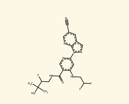 CC(C)(O)C(F)CNC(=O)c1cnc(-n2ncc3cc(C#N)cnc32)cc1NCC(F)F